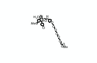 COc1ccc2c(c1)C(c1ccc(Cl)cc1)=N[C@H](CC(=O)Nc1ccc(OCCOCCOCCOCCOCCOCCC(=O)OC(C)(C)C)cc1)c1nnc(C)n1-2